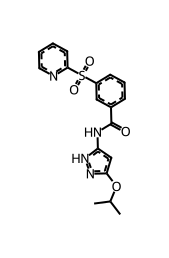 CC(C)Oc1cc(NC(=O)c2cccc(S(=O)(=O)c3ccccn3)c2)[nH]n1